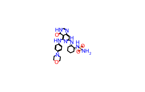 NS(=O)(=O)N[C@@H]1CCCC[C@@H]1Nc1cc2nc[nH]c(=O)c2c(Nc2ccc(N3CCOCC3)cc2)n1